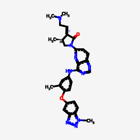 Cc1cc(Nc2ncnc3ccc(N4C[C@H](C)/C(=C\CN(C)C)C4=O)nc23)ccc1Oc1ccc2c(c1)nnn2C